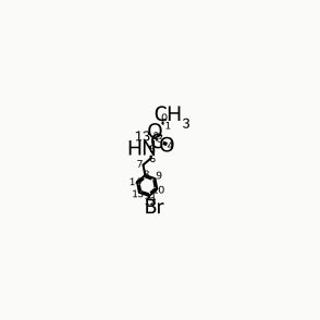 CCO[13C](=O)NCCc1ccc(Br)cc1